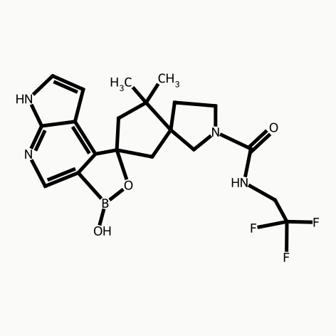 CC1(C)CC2(CC13CCN(C(=O)NCC(F)(F)F)C3)OB(O)c1cnc3[nH]ccc3c12